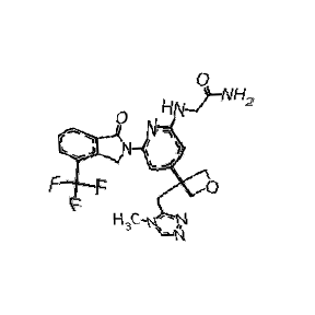 Cn1cnnc1CC1(c2cc(NCC(N)=O)nc(N3Cc4c(cccc4C(F)(F)F)C3=O)c2)COC1